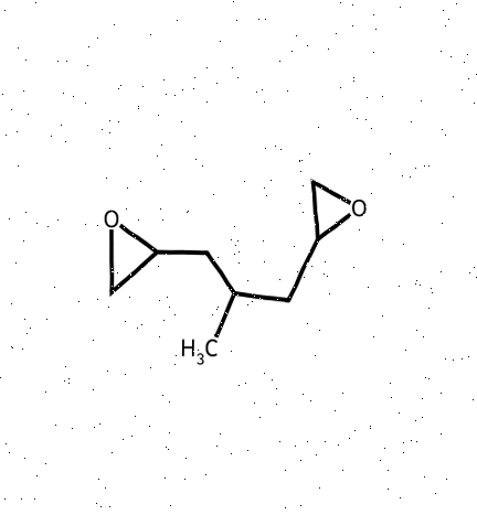 CC(CC1CO1)CC1CO1